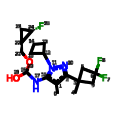 Cc1c(C2(C)CC(F)(F)C2)nn(C2CCC2)c1NC(O)OC[C@H]1C[C@@H]1F